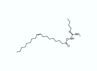 CCCCCCCC/C=C\CCCCCCCC(=O)ONC(N)=NCCCC